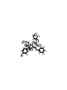 CC(C)CN(C[C@H](O)C(Cc1ccccc1)NC(=O)O[C@@H]1CCOC1)S(=O)(=O)c1ccc(F)cc1